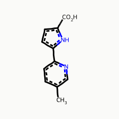 Cc1ccc(-c2ccc(C(=O)O)[nH]2)nc1